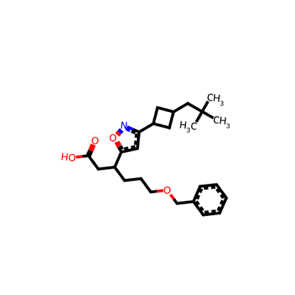 CC(C)(C)CC1CC(c2cc(C(CCCOCc3ccccc3)CC(=O)O)on2)C1